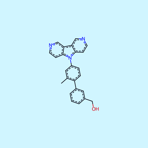 Cc1cc(-n2c3ccncc3c3cnccc32)ccc1-c1cccc(CO)c1